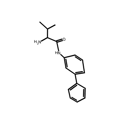 CC(C)C(N)C(=O)Nc1cccc(-c2ccccc2)c1